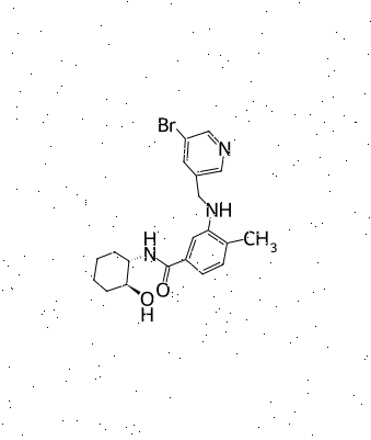 Cc1ccc(C(=O)N[C@H]2CCCC[C@@H]2O)cc1NCc1cncc(Br)c1